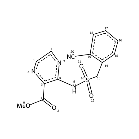 COC(=O)c1nccnc1NS(=O)(=O)Cc1ccccc1C#N